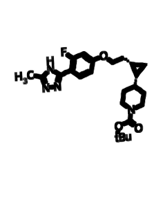 Cc1nnc(-c2ccc(OCC[C@@H]3C[C@@H]3C3CCN(C(=O)OC(C)(C)C)CC3)cc2F)[nH]1